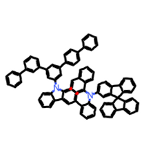 c1ccc(-c2ccc(-c3cc(-c4cccc(-c5ccccc5)c4)cc(-n4c5ccccc5c5cc(-c6ccccc6N(c6ccc7c(c6)C6(c8ccccc8-c8ccccc86)c6ccccc6-7)c6cccc7ccccc67)ccc54)c3)cc2)cc1